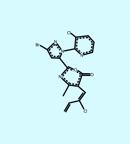 C=C/C(Cl)=C\c1c(C)nc(-c2cc(Br)nn2-c2ncccc2Cl)oc1=O